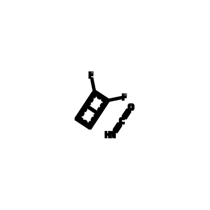 Fc1c2ccc-2c1F.N=C=O